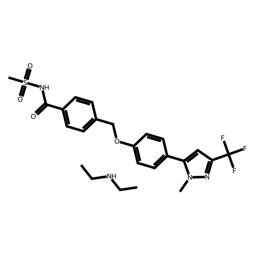 CCNCC.Cn1nc(C(F)(F)F)cc1-c1ccc(OCc2ccc(C(=O)NS(C)(=O)=O)cc2)cc1